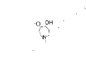 COC1CCN(C)CC[C@H]1O